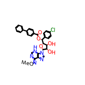 CON=c1nc[nH]c2c1ncn2[C@@H]1O[C@H]([C@H](OC(=O)c2ccc(-c3ccccc3)cc2)c2ccc(Cl)cc2)[C@@H](O)[C@H]1O